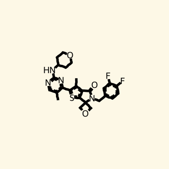 Cc1cnc(NC2CCOCC2)nc1-c1sc2c(c1C)C(=O)N(Cc1ccc(F)c(F)c1)C21COC1